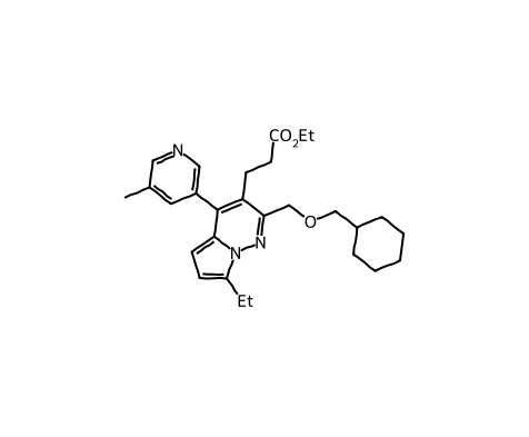 CCOC(=O)CCc1c(COCC2CCCCC2)nn2c(CC)ccc2c1-c1cncc(C)c1